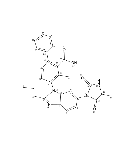 CCCc1nc2ccc(N3C(=O)NC(C)C3=O)cc2n1-c1ccc(-c2ccccc2)c(C(=O)O)c1C